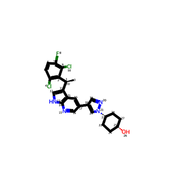 C[C@H](c1c(Cl)ccc(F)c1Cl)c1c[nH]c2ncc(-c3cnn([C@H]4CC[C@@H](O)CC4)c3)cc12